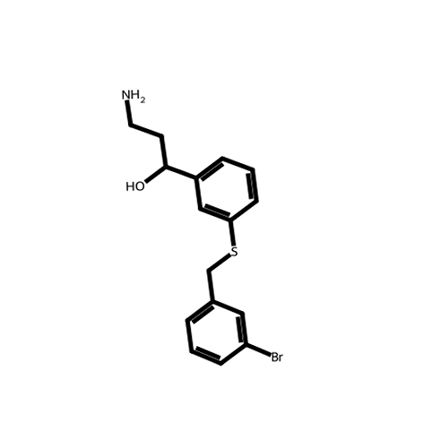 NCCC(O)c1cccc(SCc2cccc(Br)c2)c1